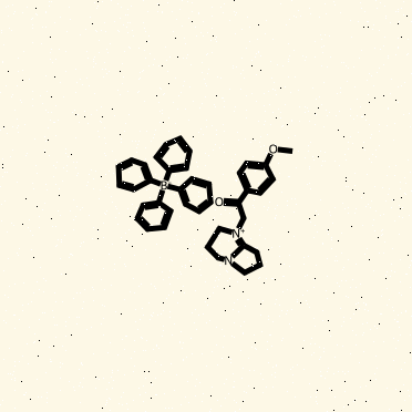 COc1ccc(C(=O)C[N+]2=C3CCCN3CCC2)cc1.c1ccc([B-](c2ccccc2)(c2ccccc2)c2ccccc2)cc1